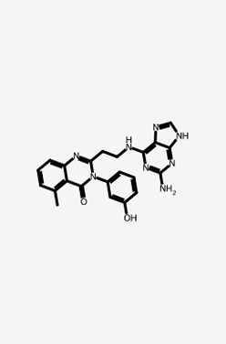 Cc1cccc2nc(CCNc3nc(N)nc4[nH]cnc34)n(-c3cccc(O)c3)c(=O)c12